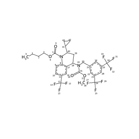 CCCCOC(=O)N1c2ccc(C(F)(F)F)cc2C(N(Cc2cc(C(F)(F)F)cc(C(F)(F)F)c2)C(=O)OC)CC1C1CC1